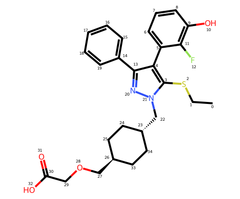 CCSc1c(-c2cccc(O)c2F)c(-c2ccccc2)nn1C[C@H]1CC[C@H](COCC(=O)O)CC1